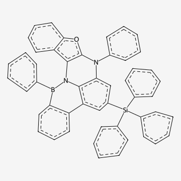 c1ccc(B2c3ccccc3-c3cc([Si](c4ccccc4)(c4ccccc4)c4ccccc4)cc4c3N2c2c(oc3ccccc23)N4c2ccccc2)cc1